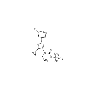 CCN(C(=O)OC(C)(C)C)c1cn(-c2cncc(F)c2)nc1C1CC1